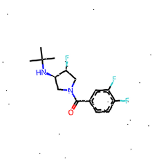 CC(C)(C)N[C@@H]1CN(C(=O)c2ccc(F)c(F)c2)C[C@@H]1F